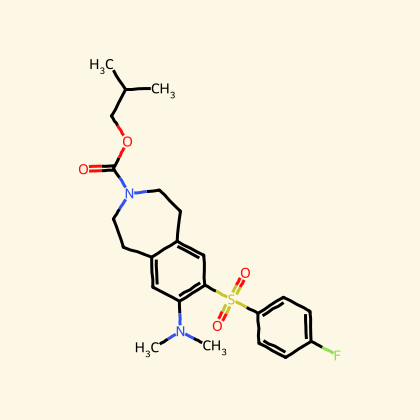 CC(C)COC(=O)N1CCc2cc(N(C)C)c(S(=O)(=O)c3ccc(F)cc3)cc2CC1